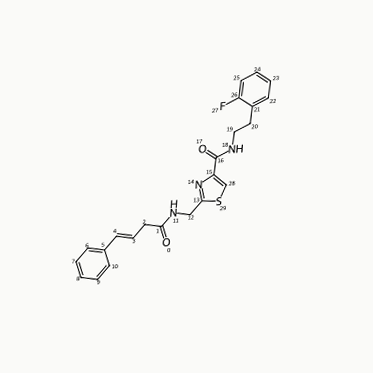 O=C(CC=Cc1ccccc1)NCc1nc(C(=O)NCCc2ccccc2F)cs1